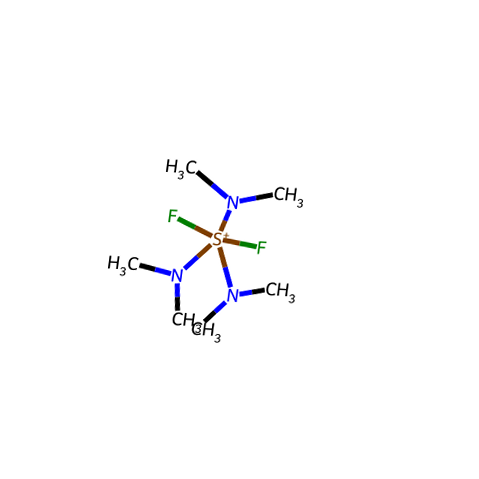 CN(C)[S+](F)(F)(N(C)C)N(C)C